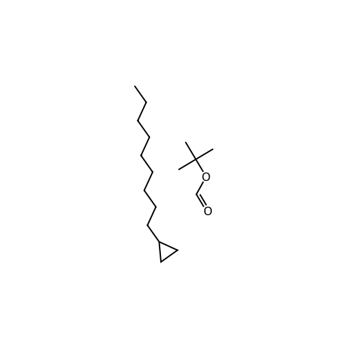 CC(C)(C)OC=O.CCCCCCCCCC1CC1